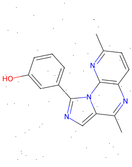 Cc1ccc2nc(C)c3cnc(-c4cccc(O)c4)n3c2n1